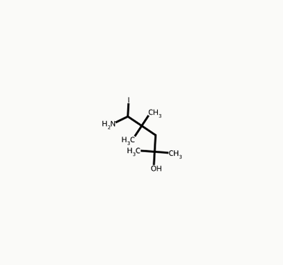 CC(C)(O)CC(C)(C)C(N)I